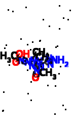 CC(C)Cn1c(N2CCN(C(=O)C(C)O)CC2)nc2c(N3CCOC[C@@H]3C)nc(-c3cnc(N)nc3)nc21